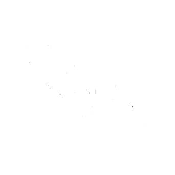 COc1ccc(C(=O)Nc2nnc(-c3cccs3)o2)c(OC)n1